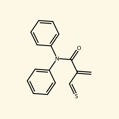 C=C(C=S)C(=O)N(c1ccccc1)c1ccccc1